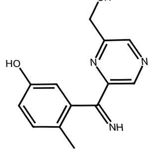 Cc1ccc(O)cc1C(=N)c1cncc(CO)n1